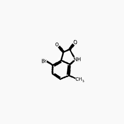 Cc1ccc(Br)c2c1NC(=O)C2=O